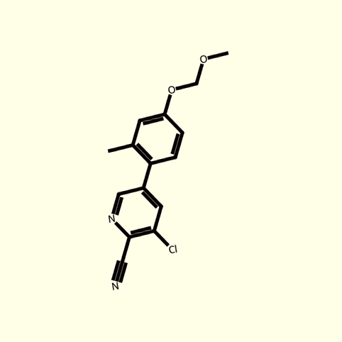 COCOc1ccc(-c2cnc(C#N)c(Cl)c2)c(C)c1